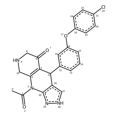 CC(=O)N1C2=C(C(=O)CNC2)C(c2cccc(Oc3ccc(Cl)cc3)c2)c2c[nH]nc21